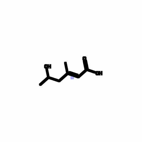 C/C(=C\C(=O)O)CC(C)O